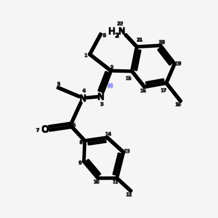 CC/C(=N\N(C)C(=O)c1ccc(C)cc1)c1cc(C)ccc1N